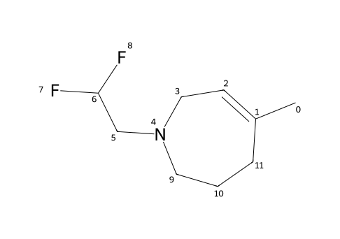 CC1=CCN(CC(F)F)CCC1